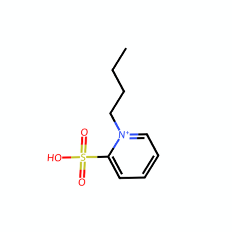 CCCC[n+]1ccccc1S(=O)(=O)O